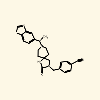 C[C@H](c1ccc2scnc2c1)N1CCC2(CC1)CN(Cc1ccc(C#N)cc1)C(=O)N2